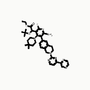 CCOC(=O)C(OC(C)(C)C)c1c(Cl)nc(N)c(-c2ccc3c(c2)CCN(c2nccc(-c4cnccn4)n2)C3)c1N1CCC(C)(C)CC1